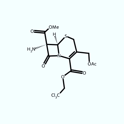 COC(=O)[C@]1(N)C(=O)N2C(C(=O)OCC(Cl)(Cl)Cl)=C(COC(C)=O)CS[C@@H]21